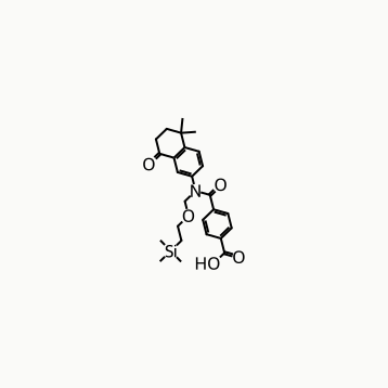 CC1(C)CCC(=O)c2cc(N(COCC[Si](C)(C)C)C(=O)c3ccc(C(=O)O)cc3)ccc21